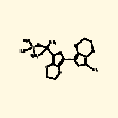 Cc1sc(-c2sc([Si](C)(C)O[Si](C)(C)C)c3c2OCCO3)c2c1OCCO2